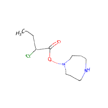 CCC(Cl)C(=O)ON1CCNCC1